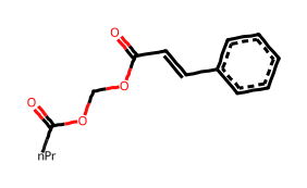 CCCC(=O)OCOC(=O)C=Cc1ccccc1